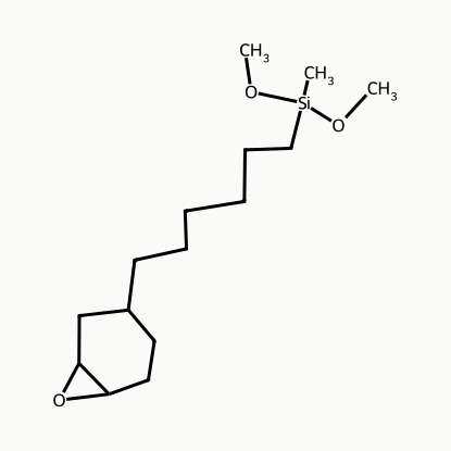 CO[Si](C)(CCCCCCC1CCC2OC2C1)OC